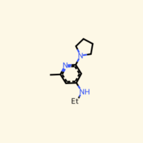 CCNc1cc(C)nc(N2CCCC2)c1